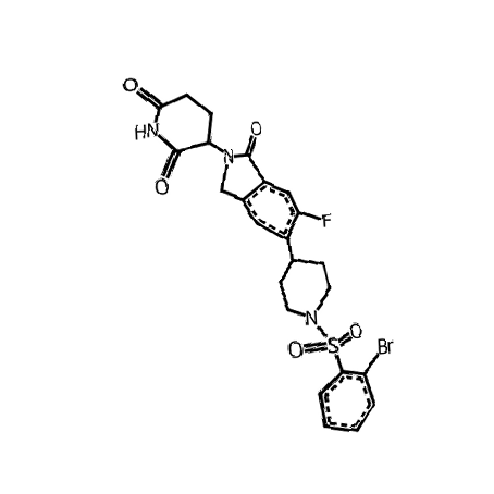 O=C1CCC(N2Cc3cc(C4CCN(S(=O)(=O)c5ccccc5Br)CC4)c(F)cc3C2=O)C(=O)N1